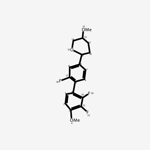 COc1ccc(-c2ccc(C3CCC(OC)CO3)cc2F)c(F)c1F